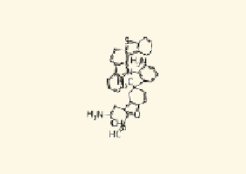 C#Cc1oc2c(c1/C=C(\C)N)CC(C)(c1cccc(N)c1-n1c3ccccc3c3ccc4sc5c(c4c31)CCC=C5)C=C2